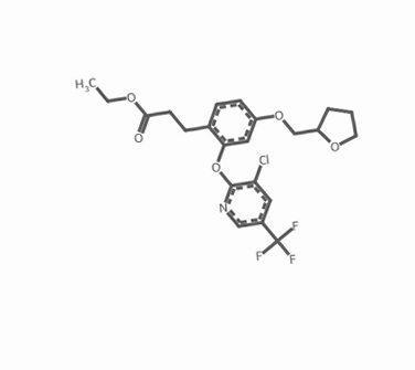 CCOC(=O)CCc1ccc(OCC2CCCO2)cc1Oc1ncc(C(F)(F)F)cc1Cl